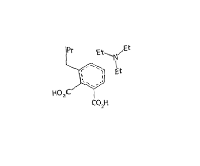 CC(C)Cc1cccc(C(=O)O)c1C(=O)O.CCN(CC)CC